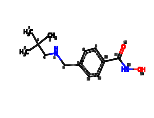 CC(C)(C)CNCc1ccc(C(=O)NO)cc1